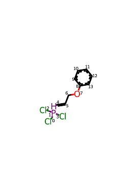 Cl[PH](Cl)(Cl)/C=C/COc1ccccc1